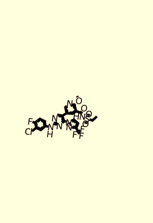 CCS(=O)(=O)NC(=O)c1cc(-c2cnc(Nc3ccc(F)c(Cl)c3)nc2-n2ccc(C(F)(F)F)n2)cnc1OC